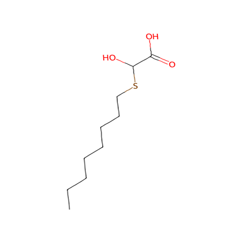 CCCCCCCCSC(O)C(=O)O